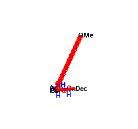 CCCCCCCCCCCCCCCC(=O)NCCCCCC(=O)NCCCCCC(=O)N[C@H](C(=O)N[C@@H](CCCCNC(=O)CCOCCOCCOCCOCCOCCOCCOCCOCCOCCOCCOCCOCCOCCOCCOCCOCCOCCOCCOCCOCCOCCOCCOCCOC)C(C)=O)[C@@H](C)CC